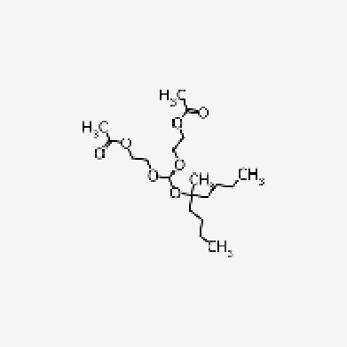 CCCCC(C)(CCCC)OC(OCCOC(C)=O)OCCOC(C)=O